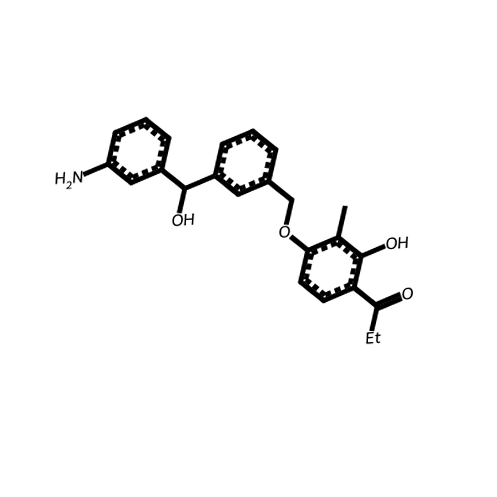 CCC(=O)c1ccc(OCc2cccc(C(O)c3cccc(N)c3)c2)c(C)c1O